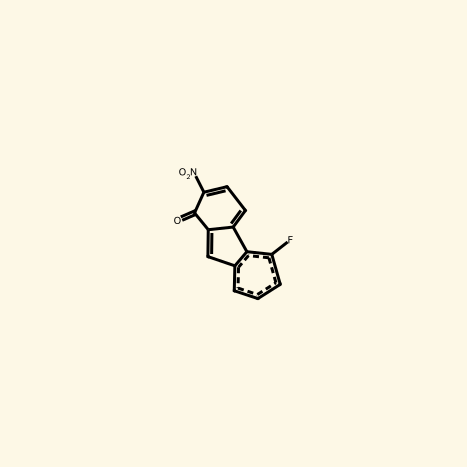 O=C1C2=Cc3cccc(F)c3C2=CC=C1[N+](=O)[O-]